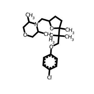 CC1COCC(C)N1CC1CCC(C)(C(C)(C)COc2ccc(Cl)cc2)O1